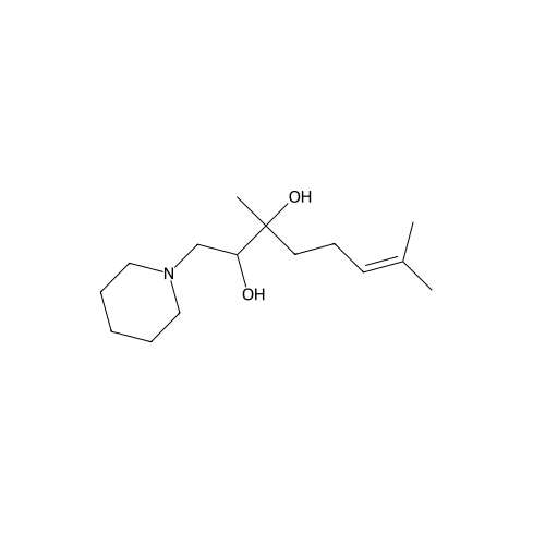 CC(C)=CCCC(C)(O)C(O)CN1CCCCC1